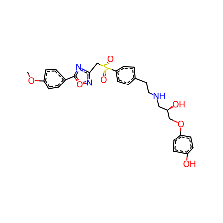 COc1ccc(-c2nc(CS(=O)(=O)c3ccc(CCNC[C@@H](O)COc4ccc(O)cc4)cc3)no2)cc1